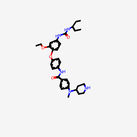 CCOc1cc(NC(=O)NC(CC)CC)ccc1Oc1ccc(NC(=O)c2ccc(N(C)C3CCNCC3)cc2)cc1